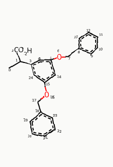 CC(C(=O)O)c1cc(OCc2ccccc2)cc(OCc2ccccc2)c1